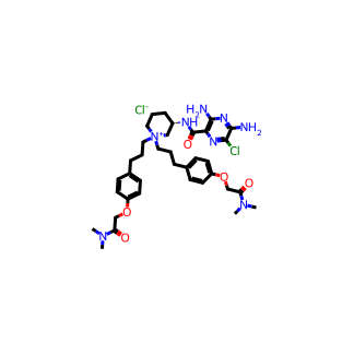 CN(C)C(=O)COc1ccc(CCC[N+]2(CCCc3ccc(OCC(=O)N(C)C)cc3)CCC[C@H](NC(=O)c3nc(Cl)c(N)nc3N)C2)cc1.[Cl-]